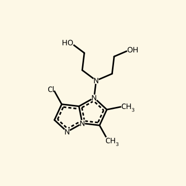 Cc1c(C)n2ncc(Cl)c2n1N(CCO)CCO